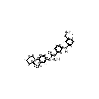 Cl.NCc1cccc(Nc2cccc(CC(=O)Nc3ccc(N4CCCCC4=O)c(Cl)c3)c2)c1